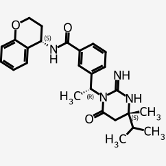 CC(C)[C@]1(C)CC(=O)N([C@H](C)c2cccc(C(=O)N[C@H]3CCOc4ccccc43)c2)C(=N)N1